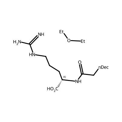 CCCCCCCCCCCC(=O)N[C@@H](CCCNC(=N)N)C(=O)O.CCOCC